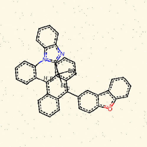 BC(B)(B)c1nc2ccccc2n1-c1ccccc1-c1c2ccccc2c(-c2ccc3oc4ccccc4c3c2)c2ccccc12